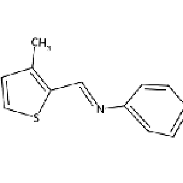 Cc1ccsc1C=Nc1ccccc1